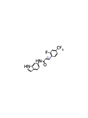 O=C(/C=C/c1ccc(C(F)(F)F)cc1F)Nc1ccc2cc[nH]c2c1